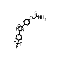 NC(=S)COc1ccc(-c2nc(-c3ccc(C(F)(F)F)cc3)no2)cc1